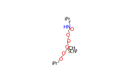 CC(C)/C=C/CNC(=O)CCOCCOCCOC(C)(CCOCCOCCC(C)C)SC#N